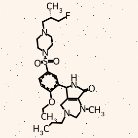 CCCN1CC2=C(C(=O)NC2c2cc(S(=O)(=O)N3CCN(C[C@H](C)CF)CC3)ccc2OCC)N(C)C1